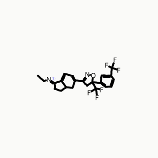 CC/N=C1\CCC2CC(C3=NOC(c4cccc(C(F)(F)F)c4)(C(F)(F)F)C3)=CC=C12